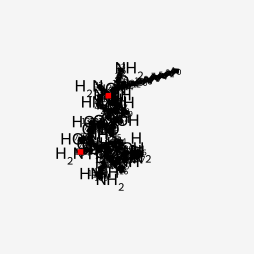 CCCCCCCCCCCCCCCC(=O)N[C@@H](CCCCN)C(=O)N[C@@H](CCCCN)C(=O)N[C@@H](CC(C)C)C(=O)N[C@@H](CCCNC(=N)N)C(=O)N[C@H](CO)C(=O)N[C@@H](CCSC)C(=O)N[C@H](C(=O)N[C@@H](CC(=O)O)C(=O)N[C@@H](CCCCN)C(=O)N[C@@H](Cc1ccc(O)cc1)C(=O)N[C@@H](CCCNC(=N)N)C(=O)N[C@@H](CC(C)C)C(=O)N[C@@H](Cc1c[nH]cn1)C(N)=O)[C@@H](C)O